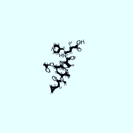 CC(=O)O[C@H](CC(C(C)C)N(C)C(=O)CC1CC1)c1nc(C(=O)N[C@@H](Cc2ccncc2)C[C@H](C)C(=O)O)cs1